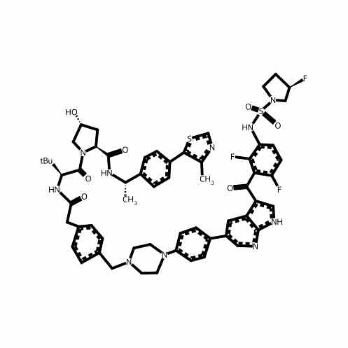 Cc1ncsc1-c1ccc([C@H](C)NC(=O)[C@@H]2C[C@@H](O)CN2C(=O)[C@@H](NC(=O)Cc2ccc(CN3CCN(c4ccc(-c5cnc6[nH]cc(C(=O)c7c(F)ccc(NS(=O)(=O)N8CC[C@@H](F)C8)c7F)c6c5)cc4)CC3)cc2)C(C)(C)C)cc1